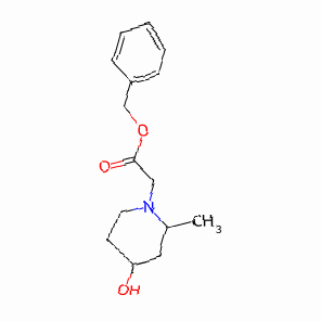 CC1CC(O)CCN1CC(=O)OCc1ccccc1